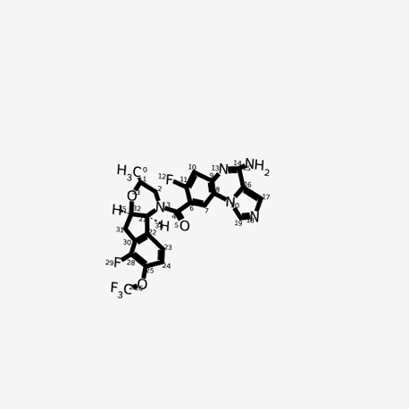 C[C@H]1CN(C(=O)c2cc3c(cc2F)nc(N)c2cncn23)[C@H]2c3ccc(OC(F)(F)F)c(F)c3C[C@H]2O1